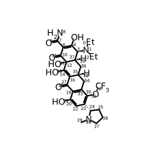 CCN(CC)[C@@H]1C(O)=C(C(N)=O)C(=O)[C@@]2(O)C(O)=C3C(=O)c4c(O)cc([C@@H]5CCCN5C)c(OC(F)(F)F)c4C[C@H]3C[C@@H]12